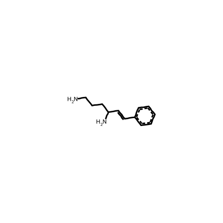 NCCCC(N)C=Cc1ccccc1